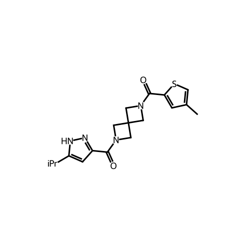 Cc1csc(C(=O)N2CC3(CN(C(=O)c4cc(C(C)C)[nH]n4)C3)C2)c1